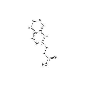 O=C(O)CCc1ccc2c(c1)=CCCC=2